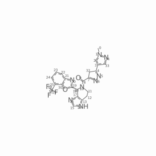 Cn1cc(C2=NN=C(C(=O)N3CCc4[nH]cnc4[C@H]3c3nc4cccc(C(F)(F)F)c4o3)C2)cn1